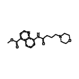 COC(=O)c1ccnc2c(NC(=O)CCCN3CCOCC3)cccc12